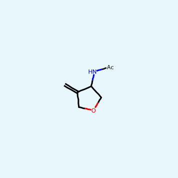 C=C1COCC1NC(C)=O